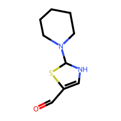 O=CC1=CNC(N2CCCCC2)S1